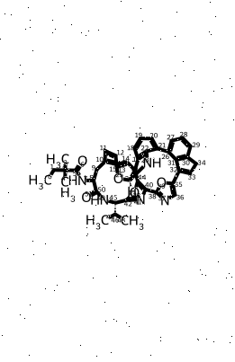 CCC(C)(C)C(=O)NC1Cc2ccc3c(c2)C24c5cccc(c5N[C@H]2O3)-c2cccc3c2C(=CC3)c2cnc(o2)-c2nc(oc24)[C@H](C(C)C)NC1=O